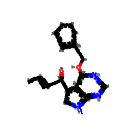 CC=CC(=O)c1c[nH]c2ncnc(OCc3ccccc3)c12